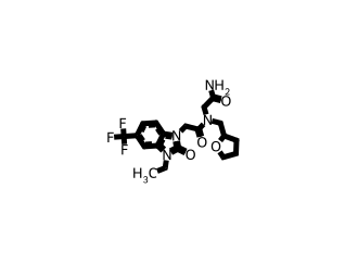 CCn1c(=O)n(CC(=O)N(CC(N)=O)CC2CCCO2)c2ccc(C(F)(F)F)cc21